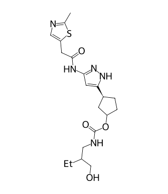 CCC(CO)CNC(=O)OC1CC[C@H](c2cc(NC(=O)Cc3cnc(C)s3)n[nH]2)C1